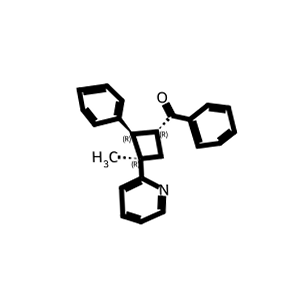 C[C@@]1(c2ccccn2)C[C@@H](C(=O)c2ccccc2)[C@@H]1c1ccccc1